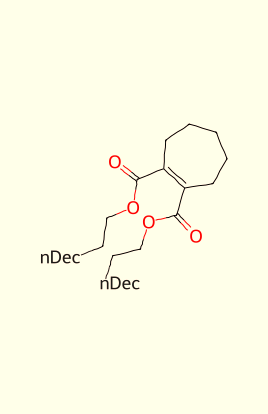 CCCCCCCCCCCCOC(=O)C1=C(C(=O)OCCCCCCCCCCCC)CCCCC1